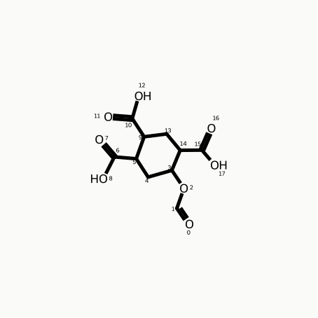 O=COC1CC(C(=O)O)C(C(=O)O)CC1C(=O)O